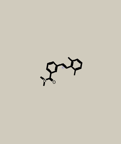 Cc1cccc(C)c1/C=C/c1cccc(C(=O)N(C)C)c1